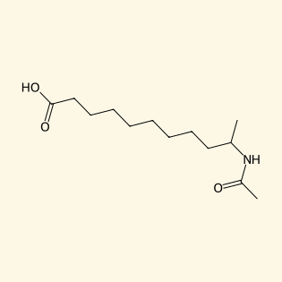 CC(=O)NC(C)CCCCCCCCC(=O)O